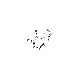 C/C=C\C1(C)C=CC=C(C)C1C